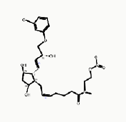 CN(CCO[N+](=O)[O-])C(=O)CCC/C=C\C[C@@H]1[C@@H](/C=C/[C@@H](O)COc2cccc(Cl)c2)[C@H](O)C[C@@H]1O